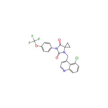 O=C1N(c2ccc(OC(F)(F)F)cc2)C(=O)C2(CC2)N1Cc1ccnc2cccc(Cl)c12